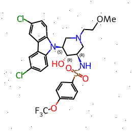 COCCN1C[C@@H](NS(=O)(=O)c2ccc(OC(F)(F)F)cc2)[C@H](O)[C@@H](n2c3ccc(Cl)cc3c3cc(Cl)ccc32)C1